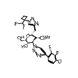 CO[C@@H]1[C@@H](n2cc(-c3ccc(Cl)c(F)c3F)nn2)[C@@H](O)[C@@H](CO)O[C@@H]1Cc1cn(C2(C(F)F)CCC2)nn1